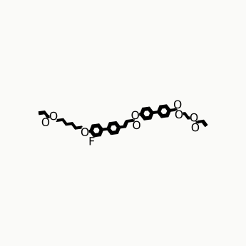 C=CC(=O)OCCCCCCOc1ccc(-c2ccc(/C=C/C(=O)Oc3ccc(-c4ccc(C(=O)OCCOC(=O)C=C)cc4)cc3)cc2)cc1F